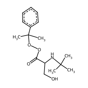 CC(C)(C)NC(CO)C(=O)OOC(C)(C)c1ccccc1